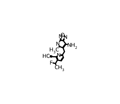 C#Cc1nc(Cc2c(C)nc3nonc3c2N)ccc1C(C)F